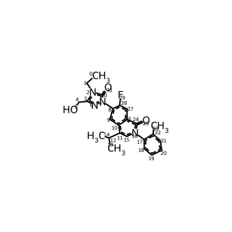 CCn1c(CO)nn(-c2cc3c(C(C)C)cn(-c4ccccc4C)c(=O)c3cc2F)c1=O